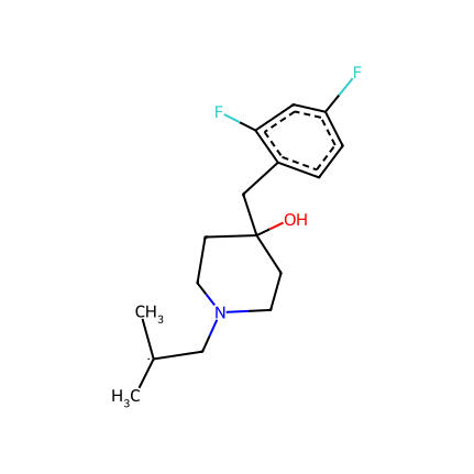 C[C](C)CN1CCC(O)(Cc2ccc(F)cc2F)CC1